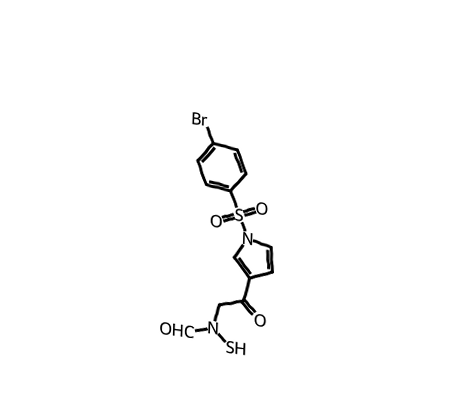 O=CN(S)CC(=O)c1ccn(S(=O)(=O)c2ccc(Br)cc2)c1